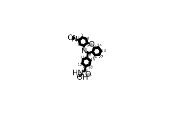 [C-]#[N+]c1ccc2c(c1)N=C(c1ccc(C(=O)NO)cc1)c1ccccc1O2